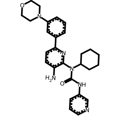 Nc1ccc(-c2cccc(N3CCOCC3)c2)nc1N(C(=O)Nc1cccnc1)C1CCCCC1